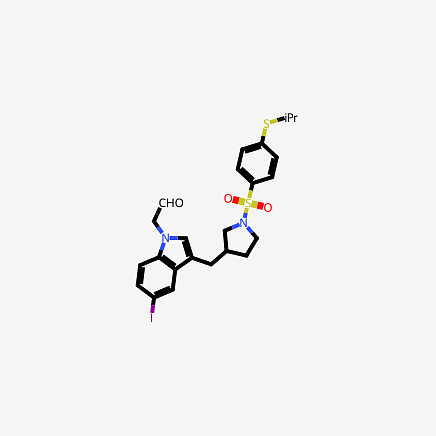 CC(C)Sc1ccc(S(=O)(=O)N2CCC(Cc3cn(CC=O)c4ccc(I)cc34)C2)cc1